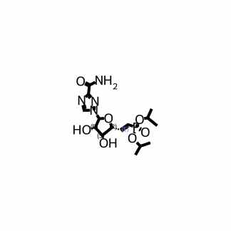 CC(C)OP(=O)(/C=C/[C@H]1OC(n2cnc(C(N)=O)n2)[C@H](O)[C@@H]1O)OC(C)C